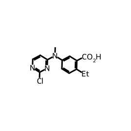 CCc1ccc(N(C)c2ccnc(Cl)n2)cc1C(=O)O